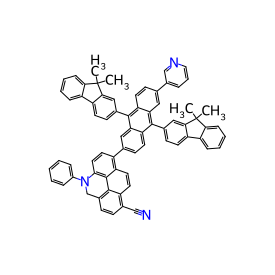 CC1(C)c2ccccc2-c2ccc(-c3c4ccc(-c5ccc6c7c5ccc5c(C#N)ccc(c57)CN6c5ccccc5)cc4c(-c4ccc5c(c4)C(C)(C)c4ccccc4-5)c4ccc(-c5cccnc5)cc34)cc21